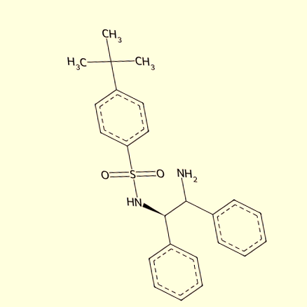 CC(C)(C)c1ccc(S(=O)(=O)N[C@H](c2ccccc2)C(N)c2ccccc2)cc1